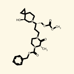 COC(=O)OC[C@H](CCN1CCN(C(=O)OCc2ccccc2)[C@@H](C)C1=O)N1CCC2(CC2)[C@H](O)C1